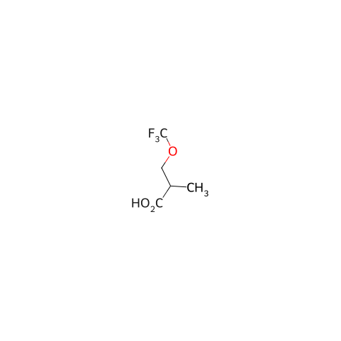 CC(COC(F)(F)F)C(=O)O